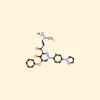 CN(C)C=CC(=O)c1nn(-c2ccc(-n3cccn3)cc2F)cc(Oc2ccccc2)c1=O